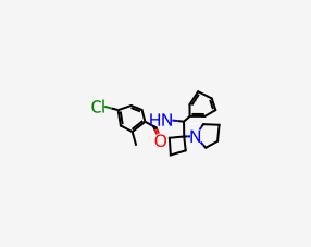 Cc1cc(Cl)ccc1C(=O)NC(c1ccccc1)C1(N2CCCC2)CCC1